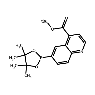 CC(C)(C)OC(=O)c1ccnc2ccc(B3OC(C)(C)C(C)(C)O3)cc12